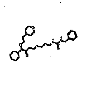 O=C(CCCCCCNC(=S)NCc1cccnc1)N(OCCN1CCOCC1)C1CCCCC1